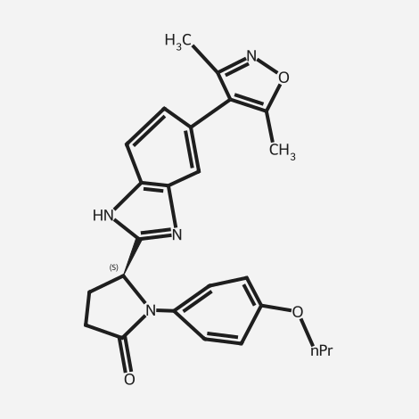 CCCOc1ccc(N2C(=O)CC[C@H]2c2nc3cc(-c4c(C)noc4C)ccc3[nH]2)cc1